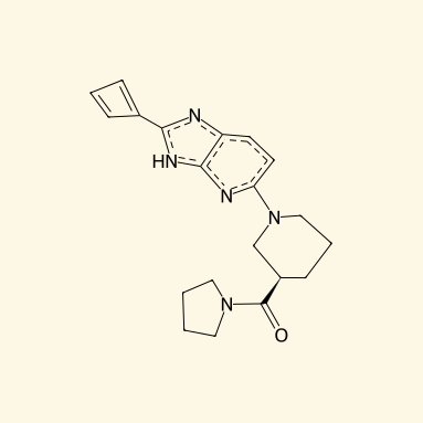 O=C([C@@H]1CCCN(c2ccc3nc(C4=CC=C4)[nH]c3n2)C1)N1CCCC1